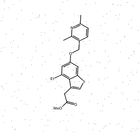 CCc1cc(OCc2ccc(C)nc2C)cc2scc(CC(=O)OC)c12